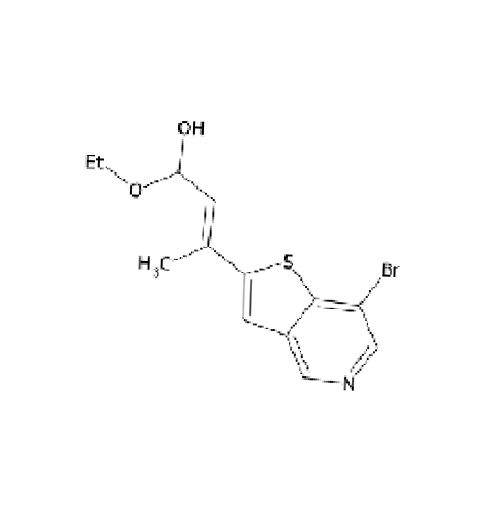 CCOC(O)/C=C(\C)c1cc2cncc(Br)c2s1